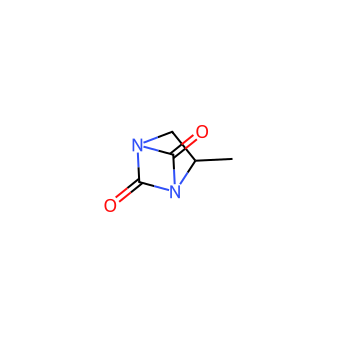 CC1CN2C(=O)N1C2=O